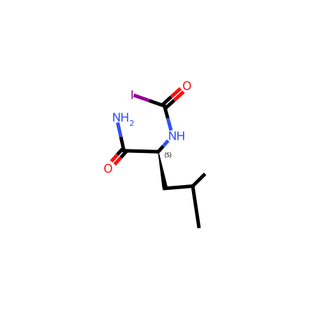 CC(C)C[C@H](NC(=O)I)C(N)=O